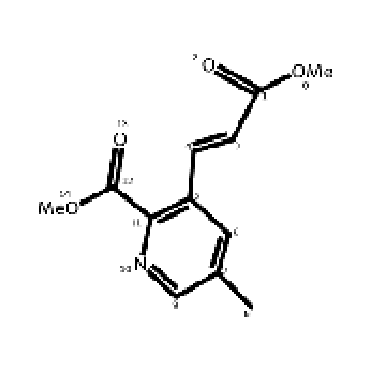 COC(=O)C=Cc1cc(C)cnc1C(=O)OC